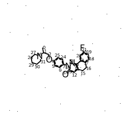 CC(COc1ccc(-n2nc3c(cc2=O)CCc2ccc(F)cc2-3)cc1)N1CCCCC1